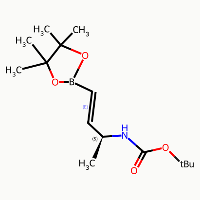 C[C@@H](/C=C/B1OC(C)(C)C(C)(C)O1)NC(=O)OC(C)(C)C